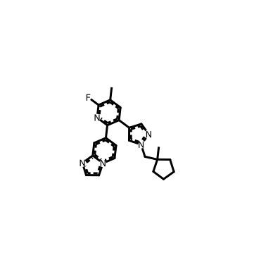 Cc1cc(-c2cnn(CC3(C)CCCC3)c2)c(-c2ccn3ccnc3c2)nc1F